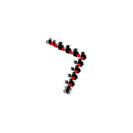 COc1ccccc1[N+]#N.COc1ccccc1[N+]#N.COc1ccccc1[N+]#N.COc1ccccc1[N+]#N.COc1ccccc1[N+]#N.COc1ccccc1[N+]#N.COc1ccccc1[N+]#N.COc1ccccc1[N+]#N.[O-]B([O-])F.[O-]B([O-])F.[O-]B([O-])F.[O-]B([O-])F